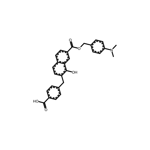 CN(C)c1ccc(COC(=O)c2ccc3ccc(Cc4ccc(C(=O)O)cc4)c(O)c3c2)cc1